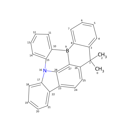 CC1(C)c2ccccc2B2c3ccccc3-n3c4ccccc4c4ccc1c2c43